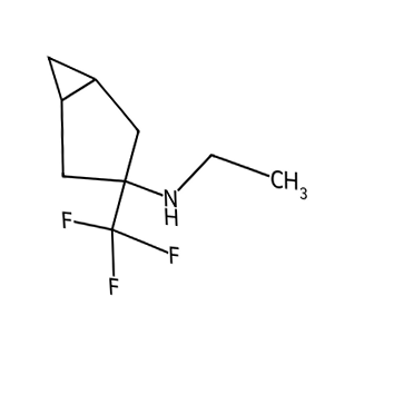 CCNC1(C(F)(F)F)CC2CC2C1